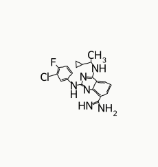 CC(Nc1nc(Nc2ccc(F)c(Cl)c2)nc2c(C(=N)N)cccc12)C1CC1